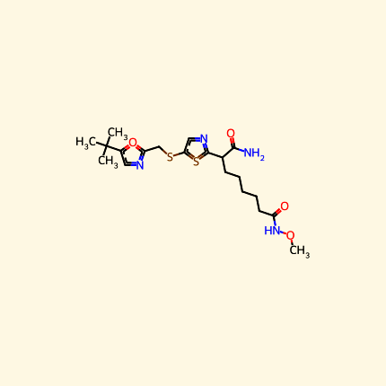 CONC(=O)CCCCCC(C(N)=O)c1ncc(SCc2ncc(C(C)(C)C)o2)s1